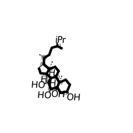 CC(C)[C@@H](C)CC[C@@H](C)[C@H]1CC[C@H]2[C@@H]3[C@@H](O)[C@@H](O)[C@@]4(O)C[C@@H](O)CC[C@]4(C)[C@H]3CC[C@]12C